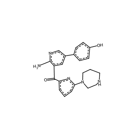 Nc1ncc(-c2ccc(O)cc2)cc1C(=O)c1cccc(N2CCCNCC2)n1